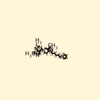 Cc1nc(N2CCc3c(c(C)nn3CCCCCN3CCCC3)C2)c2cnn(C)c2n1